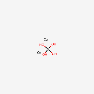 O[Si](O)(O)O.[Ce].[Cu]